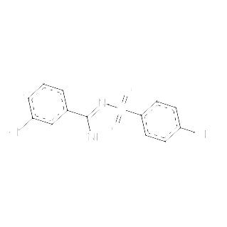 Cc1ccc(S(=O)(=O)N=C(N)c2cccc(Cl)c2)cc1